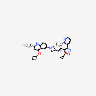 O=C(O)c1cc(OC2CCC2)c2cc(N3CC(/C=C/c4c(-c5cccnc5C(F)(F)F)noc4C4CC4)C3)ccc2n1